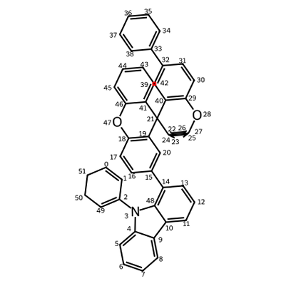 C1=CC(n2c3ccccc3c3cccc(-c4ccc5c(c4)C4(c6ccccc6Oc6ccc(-c7ccccc7)cc64)c4ccccc4O5)c32)=CCC1